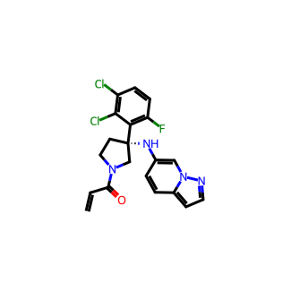 C=CC(=O)N1CC[C@@](Nc2ccc3ccnn3c2)(c2c(F)ccc(Cl)c2Cl)C1